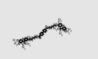 CC1=CC2=Nc3cc(C)c(N)cc3N(C(C)C)C2C=C1NCCCCCCNC(=O)c1ccc(-c2ccc(C(=O)NCCCCCCNc3cc4c(cc3C)nc3cc(C)c(N)cc3[n+]4C(C)C)cc2)cc1